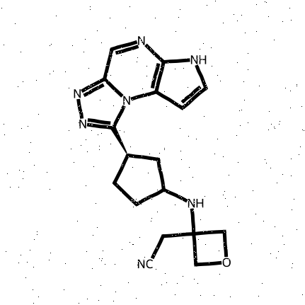 N#CCC1(NC2CC[C@@H](c3nnc4cnc5[nH]ccc5n34)C2)COC1